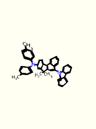 Cc1ccc(N(c2ccc(C)cc2)c2ccc3c(c2)C(C)(C)c2cc(-n4c5ccccc5c5ccccc54)c4ccccc4c2-3)cc1